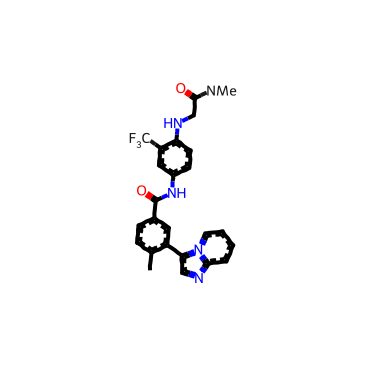 CNC(=O)CNc1ccc(NC(=O)c2ccc(C)c(-c3cnc4ccccn34)c2)cc1C(F)(F)F